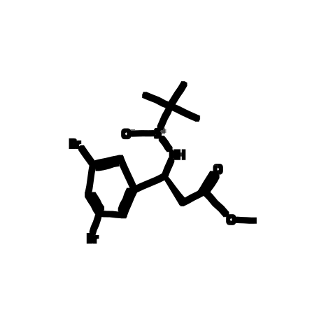 COC(=O)C[C@H](N[S+]([O-])C(C)(C)C)c1cc(Br)cc(Br)c1